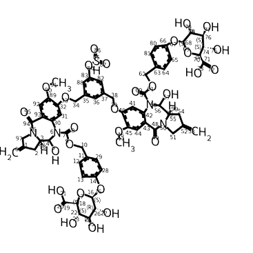 C=C1C[C@H]2C(O)N(C(=O)OCc3ccc(O[C@@H]4O[C@H](C(=O)O)[C@@H](O)[C@H](O)[C@H]4O)cc3)c3cc(OCc4cc(COc5cc6c(cc5OC)C(=O)N5CC(=C)C[C@H]5C(O)N6C(=O)OCc5ccc(O[C@@H]6O[C@H](C(=O)O)[C@@H](O)[C@H](O)[C@H]6O)cc5)cc(O[SH](=O)=O)c4)c(OC)cc3C(=O)N2C1